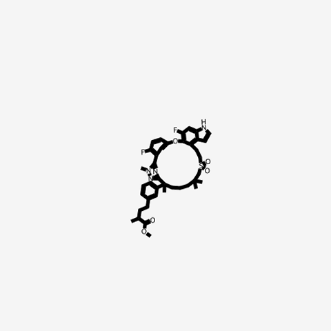 COC(=O)C(C)CCc1cccc(C2(C)CCCC(C)(C)CS(=O)(=O)CCc3c(c(F)cc4[nH]ccc34)Oc3ccc(F)c(c3)-c3nc2nn3C)c1